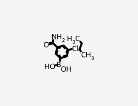 CCCC.NC(=O)c1cc(Cl)cc(B(O)O)c1